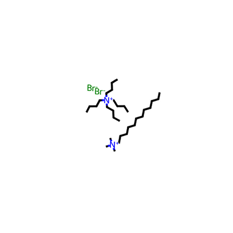 CCCCCCCCCCCC[N+](C)(C)C.CCCC[N+](CCCC)(CCCC)CCCC.[Br-].[Br-]